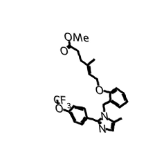 COC(=O)CC/C(C)=C/COc1ccccc1Cn1c(C)cnc1-c1ccc(OC(F)(F)F)cc1